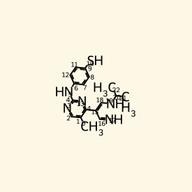 Cc1cnc(Nc2ccc(S)cc2)nc1/C(C=N)=C/NC(C)C